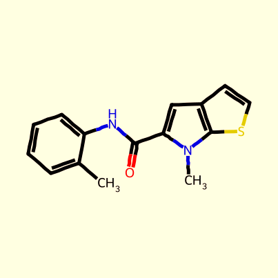 Cc1ccccc1NC(=O)c1cc2ccsc2n1C